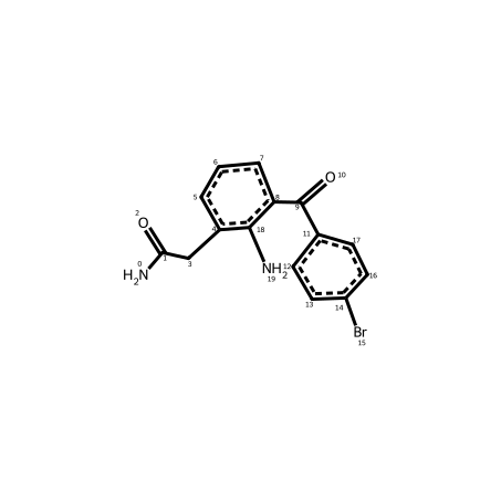 NC(=O)Cc1cccc(C(=O)c2ccc(Br)cc2)c1N